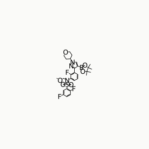 COCN(c1cccc(-c2nn(C3CCOCC3)cc2B2OC(C)(C)C(C)(C)O2)c1F)S(=O)(=O)c1cc(F)ccc1F